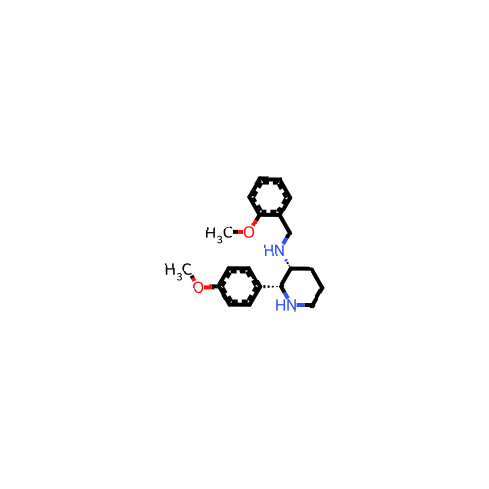 COc1ccc([C@H]2NCCC[C@H]2NCc2ccccc2OC)cc1